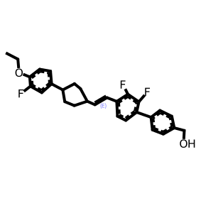 CCOc1ccc(C2CCC(/C=C/c3ccc(-c4ccc(CO)cc4)c(F)c3F)CC2)cc1F